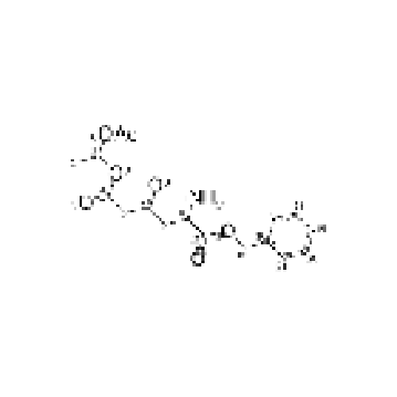 CC(=O)OC(C)OC(=O)CC(=O)CC(N)C(=O)OCc1ccccc1